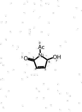 CC(=O)N1C(=O)C=CC1O